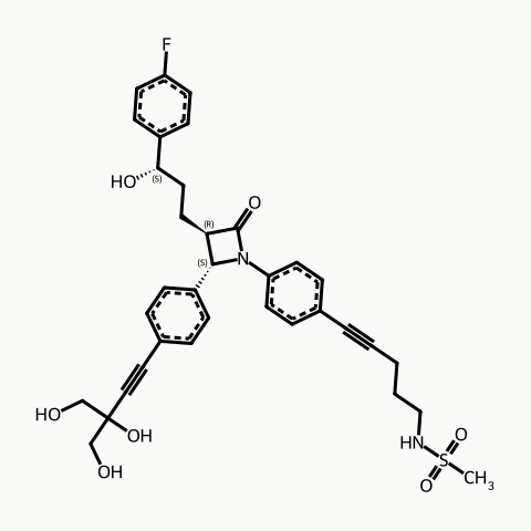 CS(=O)(=O)NCCCC#Cc1ccc(N2C(=O)[C@H](CC[C@H](O)c3ccc(F)cc3)[C@H]2c2ccc(C#CC(O)(CO)CO)cc2)cc1